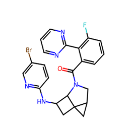 O=C(c1cccc(F)c1-c1ncccn1)N1CC2CC23CC(Nc2ccc(Br)cn2)C13